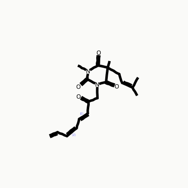 C=C/C=C\C=C\C(=O)CN1C(=O)N(C)C(=O)C(C)(CC=C(C)C)C1=O